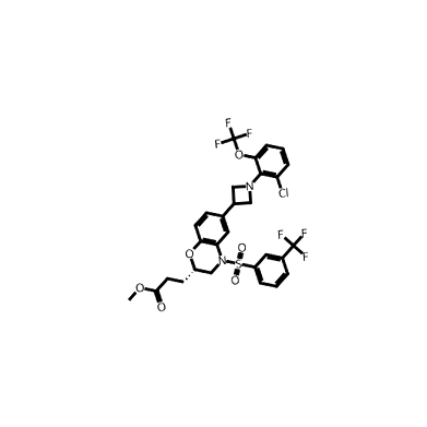 COC(=O)CC[C@H]1CN(S(=O)(=O)c2cccc(C(F)(F)F)c2)c2cc(C3CN(c4c(Cl)cccc4OC(F)(F)F)C3)ccc2O1